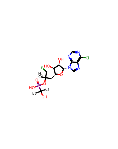 CCC(O)(CC)P(=O)(O)OC(C)(CF)C[C@H]1O[C@@H](n2cnc3c(Cl)ncnc32)[C@H](O)[C@@H]1O